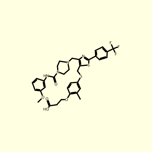 COc1cccc(NC(=O)N2CCN(Cc3nc(-c4ccc(C(F)(F)F)cc4)sc3CSc3ccc(OCCC(=O)O)c(C)c3)CC2)c1